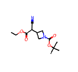 CCOC(=O)C(C#N)C1CN(C(=O)OC(C)(C)C)C1